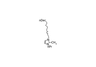 CCCCCCCCCCCCCCCCCN1C=CN(CCC)C1C